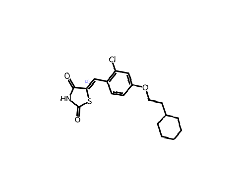 O=C1NC(=O)/C(=C/c2ccc(OCCC3CCCCC3)cc2Cl)S1